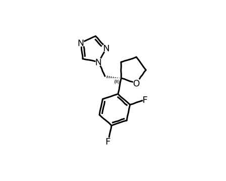 Fc1ccc([C@@]2(Cn3cncn3)CCCO2)c(F)c1